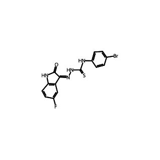 O=C1Nc2ccc(F)cc2/C1=N/NC(=S)Nc1ccc(Br)cc1